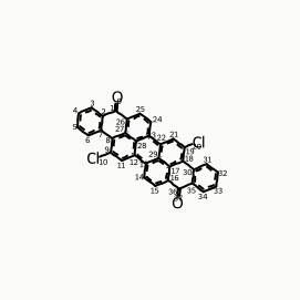 O=C1c2ccccc2-c2c(Cl)cc3c4ccc5c6c(c(Cl)cc(c7ccc1c2c73)c64)-c1ccccc1C5=O